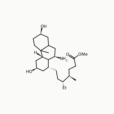 CC[C@H](CC[C@@H]1C[C@@H](O)C[C@H]2C1[C@H](N)CC1C[C@H](O)CCC12C)[C@H](C)CCC(=O)OC